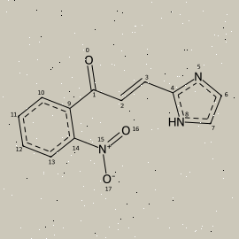 O=C(C=Cc1ncc[nH]1)c1ccccc1[N+](=O)[O-]